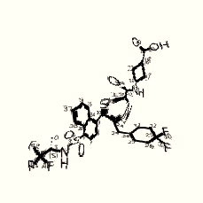 C[C@H](NS(=O)(=O)c1ccc(-c2sc(C(=O)N[C@H]3C[C@H](C(=O)O)C3)nc2CC2CCC(F)(F)CC2)c2ccccc12)C(F)(F)F